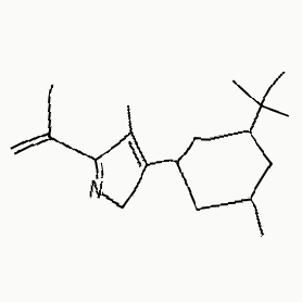 C=C(C)C1=NCC(C2CC(C)CC(C(C)(C)C)C2)=C1C